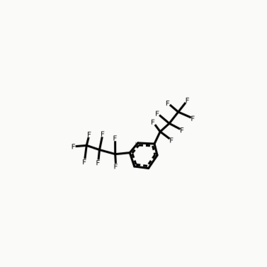 FC(F)(F)C(F)(F)C(F)(F)c1[c]c(C(F)(F)C(F)(F)C(F)(F)F)ccc1